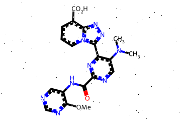 COc1ncncc1NC(=O)c1ncc(N(C)C)c(-c2nnc3c(C(=O)O)cccn23)n1